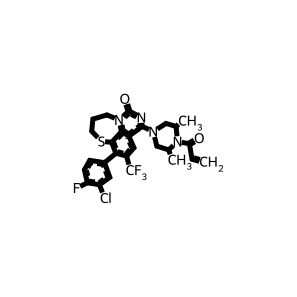 C=CC(=O)N1C(C)CN(c2nc(=O)n3c4c(c(-c5ccc(F)c(Cl)c5)c(C(F)(F)F)cc24)SCCC3)CC1C